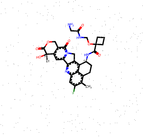 CC[C@@]1(O)C(=O)OCc2c1cc1n(c2=O)Cc2c-1nc1cc(F)c(C)c3c1c2[C@@H](NC(=O)C1(OCNC(=O)CN)CCC1)CC3